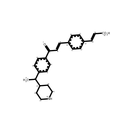 CC(c1ccc(C(=O)/C=C/c2ccc(/C=C/C(=O)O)cc2)cc1)C1CCNCC1